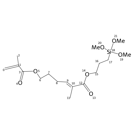 C=C(C)C(=O)OCCCC=C(C)C(=O)OCCC[Si](OC)(OC)OC